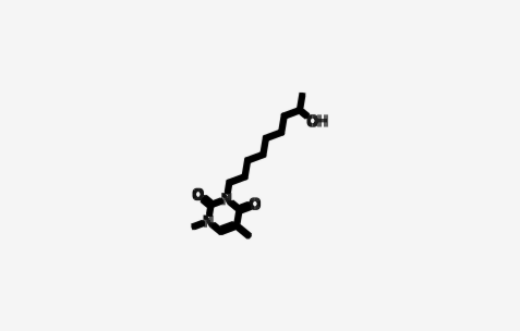 Cc1cn(C)c(=O)n(CCCCCCCC(C)O)c1=O